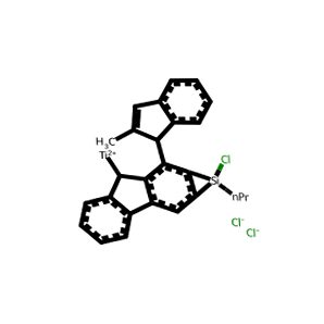 CCC[Si]1(Cl)c2cc3c(c(C4C(C)=Cc5ccccc54)c21)[CH]([Ti+2])c1ccccc1-3.[Cl-].[Cl-]